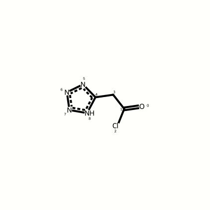 O=C(Cl)Cc1nnn[nH]1